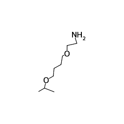 CC(C)OCCCCOCCN